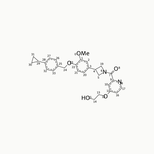 COc1cc(C2CN(C(=O)c3cc(OCCO)ccn3)C2)ccc1OCc1ccc(C2CC2)cc1